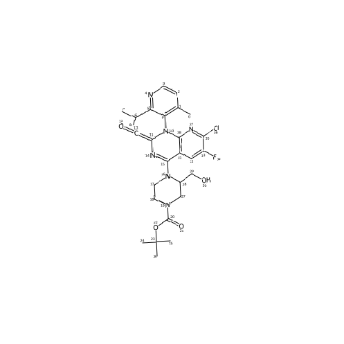 Cc1ccnc(C(C)C)c1N1C(=C=O)N=C(N2CCN(C(=O)OC(C)(C)C)CC2CO)c2cc(F)c(Cl)nc21